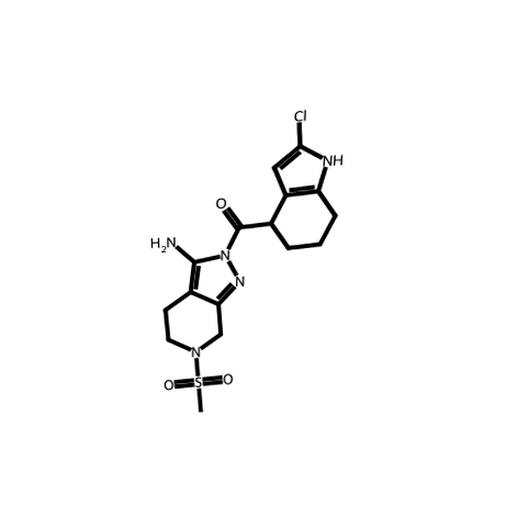 CS(=O)(=O)N1CCc2c(nn(C(=O)C3CCCc4[nH]c(Cl)cc43)c2N)C1